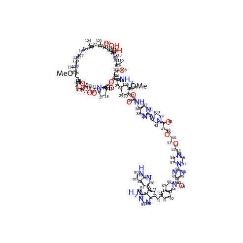 CO[C@H]1C[C@@H]2CC[C@@H](C)[C@@](O)(O2)C(=O)C(=O)N2CCCC[C@H]2C(=O)O[C@H]([C@H](N)C[C@@H]2CC[C@@H](OC(=O)NCc3cnc(N4CCN(C(=O)CCOCCOCCN5CCN(c6ncc(C(=O)N7CCc8cc(CC9C=C(c%10cnc%11[nH]ccc%11c%10)c%10c(N)ncnc%109)ccc8C7)cn6)CC5)CC4)nc3)[C@H](OC)C2)CC(=O)[C@H](C)/C=C(\C)[C@@H](O)[C@@H](O)C(=O)[C@H](C)C[C@H](C)/C=C/C=C/C=C/1C